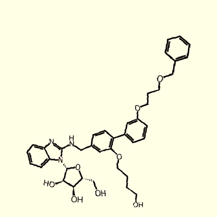 OCCCCOc1cc(CNc2nc3ccccc3n2[C@@H]2O[C@H](CO)[C@@H](O)[C@H]2O)ccc1-c1cccc(OCCCOCc2ccccc2)c1